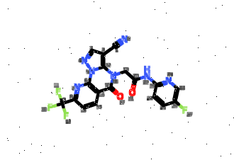 N#Cc1cnn2c3nc(C(F)(F)F)ccc3c(=O)n(CC(=O)Nc3ccc(F)cn3)c12